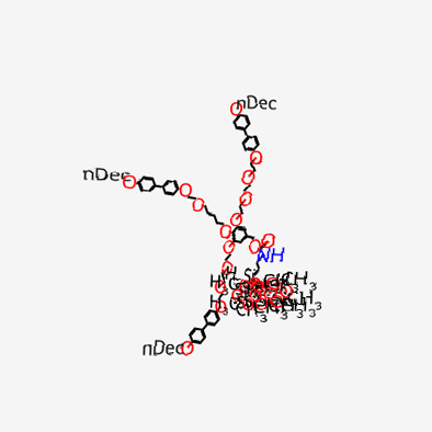 CCCCCCCCCCOc1ccc(-c2ccc(OCCOCCCCCOc3c(OCCOCCOCCOc4ccc(-c5ccc(OCCCCCCCCCC)cc5)cc4)cc(COC(=O)NCC[SiH2]O[Si]45O[SiH](C)O[Si](C)(C)O[Si](C)(O[Si]6(C)O[Si](C)(C)O[SiH](C)O[Si](C)(O6)O4)O5)cc3OCCOCCOCCOc3ccc(-c4ccc(OCCCCCCCCCC)cc4)cc3)cc2)cc1